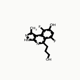 Cc1n[nH]c2nc(CCCO)c3c(F)cc(O)c(F)c3c12